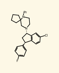 CC(C)N1CCN([C@H]2C[C@H](c3ccc(F)cc3)c3ccc(Cl)cc32)CC12CCCC2